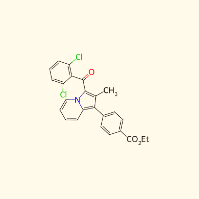 CCOC(=O)c1ccc(-c2c(C)c(C(=O)c3c(Cl)cccc3Cl)n3ccccc23)cc1